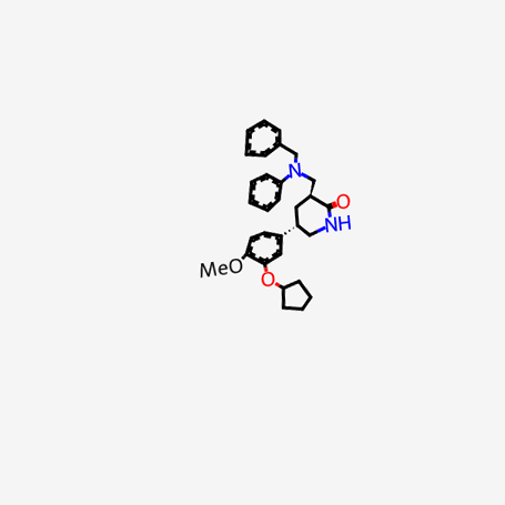 COc1ccc([C@H]2CNC(=O)[C@H](CN(Cc3ccccc3)c3ccccc3)C2)cc1OC1CCCC1